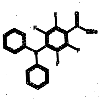 COC(=O)c1c(F)c(F)c(N(c2ccccc2)c2ccccc2)c(F)c1F